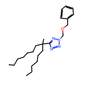 CCCCCCCC(C)(CCCCCC)c1nnn(COCc2ccccc2)n1